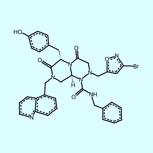 O=C1[C@H](Cc2ccc(O)cc2)N2C(=O)CN(Cc3cc(Br)no3)N(C(=O)NCc3ccccc3)[C@H]2CN1Cc1cccc2ncccc12